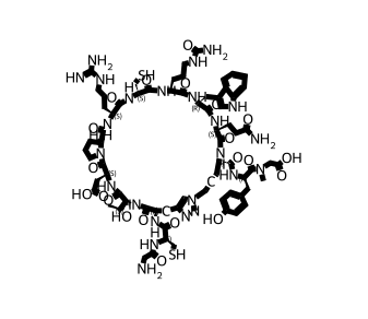 C[C@H](O)[C@H]1NC(=O)[C@H](NC(=O)[C@@H](CS)NC(=O)CN)Cc2cn(nn2)CCC[C@@H](C(=O)N[C@H](Cc2ccc(O)cc2)C(=O)N(C)CC(=O)O)NC(=O)[C@H](CCC(N)=O)NC(=O)[C@@H](Cc2c[nH]c3ccccc23)NC(=O)[C@H](CCCNC(N)=O)NC(=O)[C@@H](CS)NC(=O)[C@H](CCCNC(=N)N)NC(=O)[C@H]2CCCN2C(=O)[C@H](CC(=O)O)NC1=O